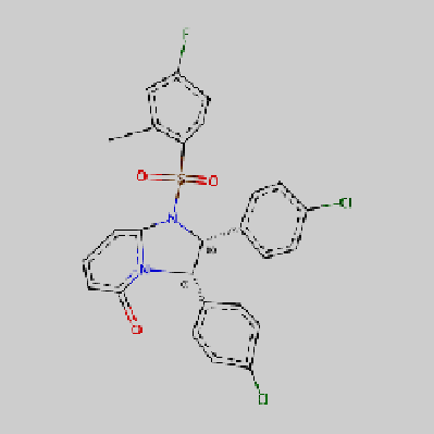 Cc1cc(F)ccc1S(=O)(=O)N1c2cccc(=O)n2[C@@H](c2ccc(Cl)cc2)[C@H]1c1ccc(Cl)cc1